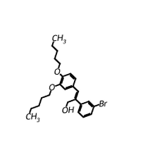 CCCCCOc1ccc(C=C(CO)c2cccc(Br)c2)cc1OCCCCC